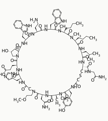 CCCC[C@H]1C(=O)N(C)[C@@H](CCCC)C(=O)N[C@@H](CC(C)C)C(=O)N[C@H](C(=O)NCC(N)=O)CSCC(=O)N[C@@H](Cc2ccc(O)cc2)C(=O)N(C)[C@@H](C)C(=O)N[C@@H](CC(N)=O)C(=O)N(CCOC)CC(=O)N[C@@H](Cc2cnc[nH]2)C(=O)N[C@@H](CCC(=O)O)C(=O)N2C[C@H](O)C[C@H]2C(=O)N[C@@H](Cc2c[nH]c3ccccc23)C(=O)N[C@@H](CCN)C(=O)N[C@@H](Cc2c[nH]c3ccccc23)C(=O)N1C